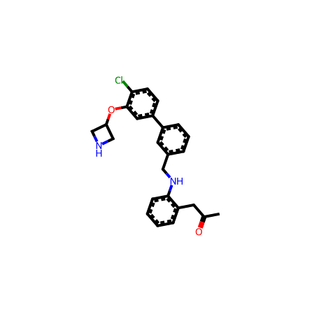 CC(=O)Cc1ccccc1NCc1cccc(-c2ccc(Cl)c(OC3CNC3)c2)c1